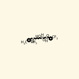 Cc1ccc(CNCCCCC(O)CNC(=O)CNC(=O)c2cccc(C(F)(F)F)c2)c(C)c1